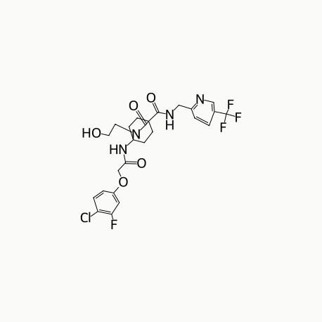 O=C(COc1ccc(Cl)c(F)c1)NC12CCC(C(=O)NCc3ccc(C(F)(F)F)cn3)(CC1)C(=O)N2CCO